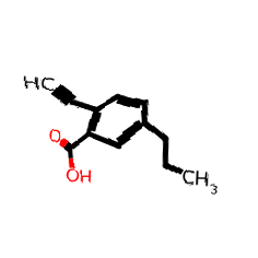 C#Cc1ccc(CCC)cc1C(=O)O